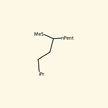 CCCCCC(CCC(C)C)SC